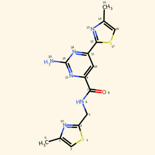 Cc1csc(CNC(=O)c2cc(-c3nc(C)cs3)nc(N)n2)n1